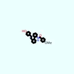 COc1ccc(C(=O)Nc2ccccc2-c2ccccc2/C=C/c2ccc(O)cc2)cc1